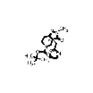 CN1N=C2CCN(C(=O)OC(C)(C)C)C[C@@]2(Cc2nccs2)C1=O